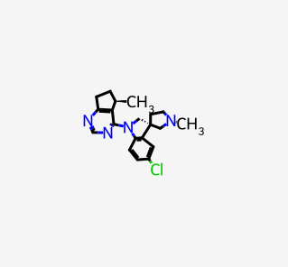 C[C@@H]1CCc2ncnc(N3C[C@@]4(CCN(C)C4)c4cc(Cl)ccc43)c21